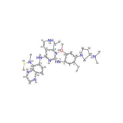 CCc1cc(Nc2nc(CC)c(/C=C\N)c(Nc3ccc4nccnc4c3N(C)SC)n2)c(OC)cc1N1CCC(N(C)C)C1